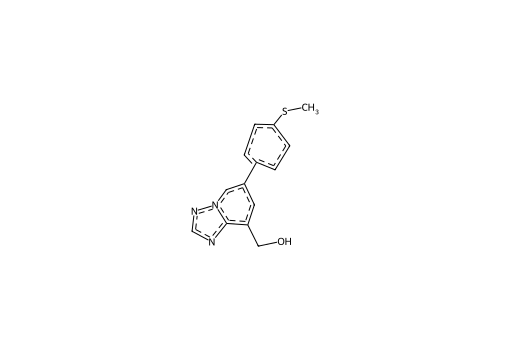 CSc1ccc(-c2cc(CO)c3ncnn3c2)cc1